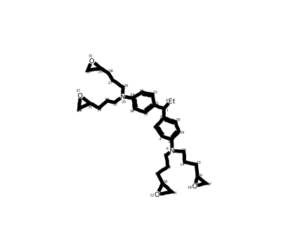 CCC(c1ccc(N(CCCC2CO2)CCCC2CO2)cc1)c1ccc(N(CCCC2CO2)CCCC2CO2)cc1